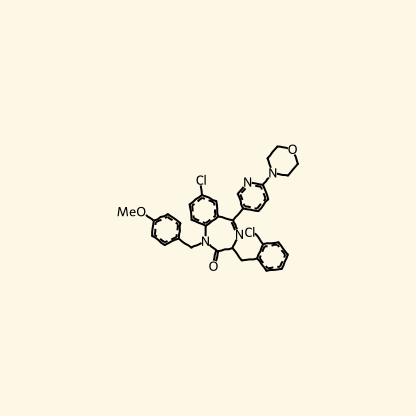 COc1ccc(CN2C(=O)C(Cc3ccccc3Cl)N=C(c3ccc(N4CCOCC4)nc3)c3cc(Cl)ccc32)cc1